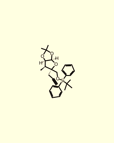 C#CC[C@@]1(CO[Si](c2ccccc2)(c2ccccc2)C(C)(C)C)O[C@@H]2OC(C)(C)O[C@@H]2[C@@H]1C